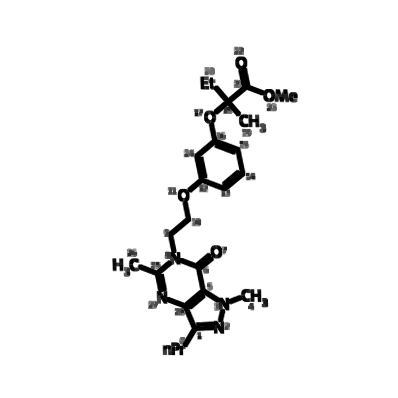 CCCc1nn(C)c2c(=O)n(CCOc3cccc(OC(C)(CC)C(=O)OC)c3)c(C)nc12